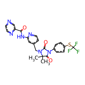 CC1(C)C(=O)N(c2ccc(SC(F)(F)F)cc2)C(=O)N1Cc1ccnc(NC(=O)c2cnccn2)c1